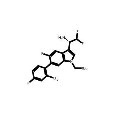 CC(C)(C)Cn1cc([C@H](N)C(F)F)c2cc(F)c(-c3ccc(F)cc3C(F)(F)F)cc21